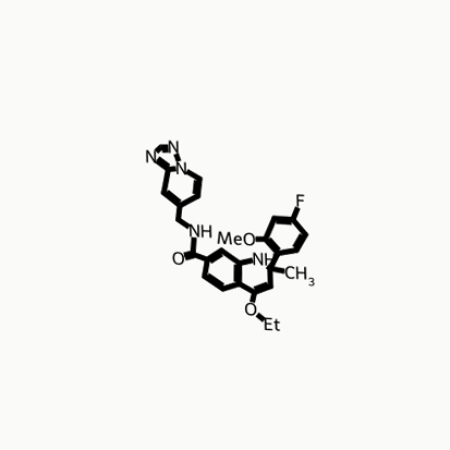 CCOC1=CC(C)(c2ccc(F)cc2OC)Nc2cc(C(=O)NCc3ccn4ncnc4c3)ccc21